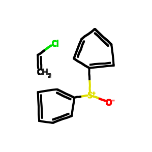 C=CCl.[O-][S+](c1ccccc1)c1ccccc1